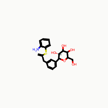 C=C(Cc1cccc(C2OC(CO)C(O)C(O)[C@H]2O)c1)Sc1ccccc1N